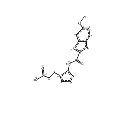 COc1ccc2nc(C(=O)Nc3nccn3CCC(=O)O)sc2c1